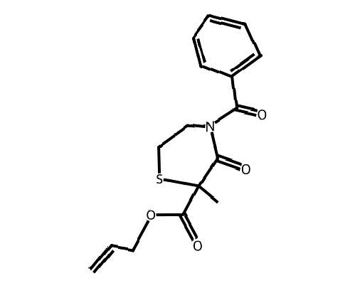 C=CCOC(=O)C1(C)SCCN(C(=O)c2ccccc2)C1=O